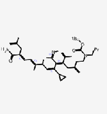 C=C(C)C/C(=C\C=C(/C)C(C)\C=C(C(/C(C)=N\C)=C(\CC(=C)CCN(CC(C)C)C(=O)OC(C)(C)C)C(=C)C)\C1CC1)C(N)=O